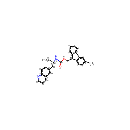 Cc1ccc2c(c1)-c1ccccc1C2COC(=O)N[C@@H](Cc1ccc2ncccc2c1)C(=O)O